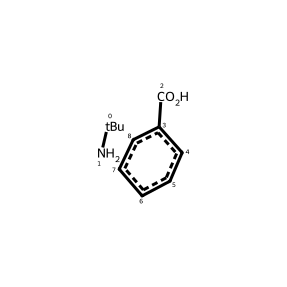 CC(C)(C)N.O=C(O)c1ccccc1